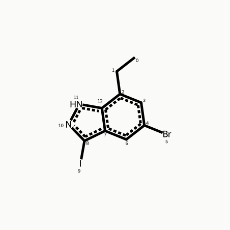 CCc1cc(Br)cc2c(I)n[nH]c12